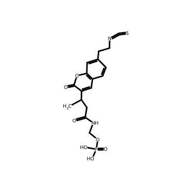 CC(CC(=O)NCOP(=O)(O)O)c1cc2ccc(CCN=C=S)cc2oc1=O